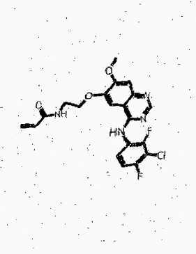 C=CC(=O)NCCOc1cc2c(Nc3ccc(F)c(Cl)c3F)ncnc2cc1OC